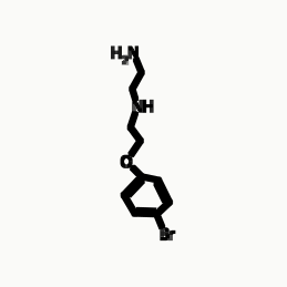 NCCNCCOc1ccc(Br)cc1